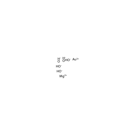 [Au+3].[Mg+2].[OH-].[OH-].[OH-].[OH-].[OH-]